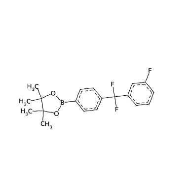 CC1(C)OB(c2ccc(C(F)(F)c3cccc(F)c3)cc2)OC1(C)C